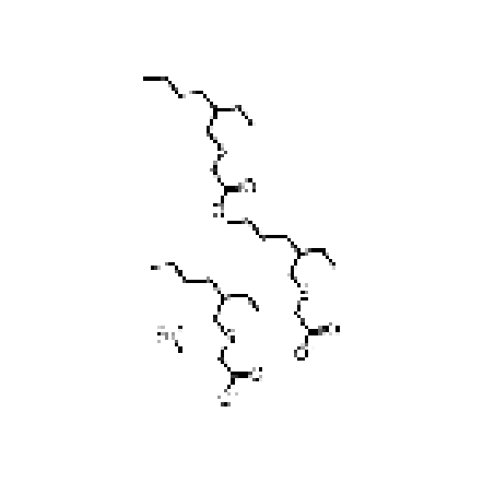 CCCCC(CC)CSCC(=O)[O-].CCCCC(CC)CSCC(=O)[O-].CCCCC(CC)CSCC(=O)[O-].[CH3][Sn+3]